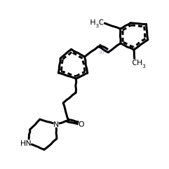 Cc1cccc(C)c1/C=C/c1cccc(CCC(=O)N2CCNCC2)c1